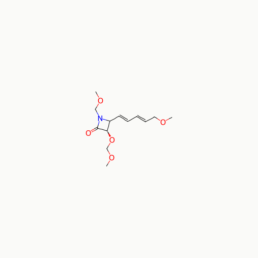 COC/C=C/C=C/C1[C@@H](OCOC)C(=O)N1COC